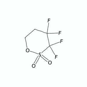 O=S1(=O)OCCC(F)(F)C1(F)F